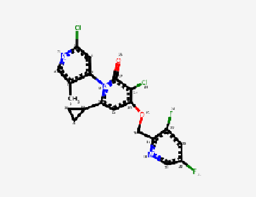 Cc1cnc(Cl)cc1-n1c(C2CC2)cc(OCc2ncc(F)cc2F)c(Cl)c1=O